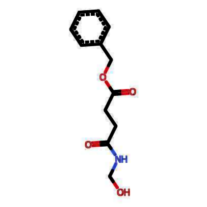 O=C(CCC(=O)OCc1ccccc1)NCO